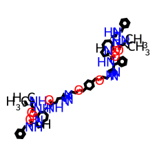 CC[C@H](NC)C(=O)N[C@@H]1C(=O)N2[C@@H](CC[C@@H]1CNC(=O)CCc1cn(CCOCC3CCC(COCCn4cc([C@@H](NC(=O)[C@@H]5CC[C@@H]6CC[C@H](CCNCc7ccccc7)[C@H](NC(=O)[C@H](CC)NC)C(=O)N65)c5ccccc5)nn4)CC3)nn1)CC[C@H]2C(=O)NCc1ccccc1